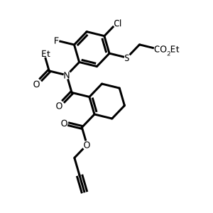 C#CCOC(=O)C1=C(C(=O)N(C(=O)CC)c2cc(SCC(=O)OCC)c(Cl)cc2F)CCCC1